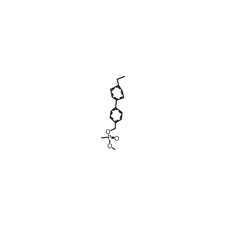 CCc1ccc(-c2ccc(COP(C)(=O)OC)cc2)cc1